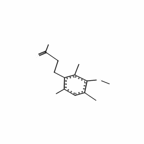 COc1c(C)cc(C)c(CCC(C)=O)c1C